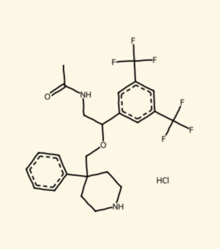 CC(=O)NCC(OCC1(c2ccccc2)CCNCC1)c1cc(C(F)(F)F)cc(C(F)(F)F)c1.Cl